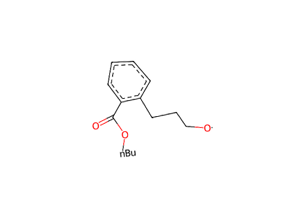 CCCCOC(=O)c1ccccc1CCC[O]